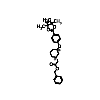 CC1(C)OB(c2ccc(O[C@@H]3CCC[C@@H](CC(=O)OCc4ccccc4)C3)cc2)OC1(C)C